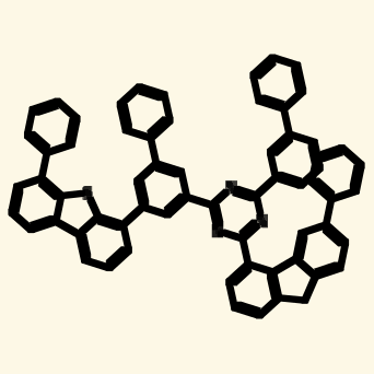 c1ccc(-c2cccc(-c3nc(-c4cc(-c5ccccc5)cc(-c5cccc6c5sc5c(-c7ccccc7)cccc56)c4)nc(-c4cccc5c4-c4cc(-c6ccccc6)ccc4C5)n3)c2)cc1